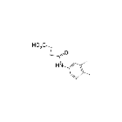 Cc1ccc(NC(=O)CCC(=O)O)cc1C